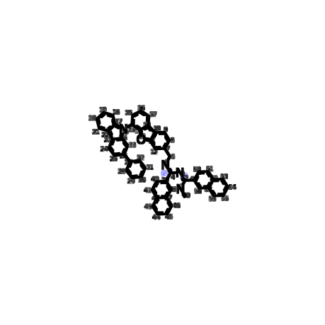 C=N/C(=N\C(=N/Cc1ccc2c(c1)oc1c(-n3c4ccccc4c4ccc(-c5ccccc5)cc43)cccc12)c1ccc2ccccc2c1)c1ccc2ccccc2c1